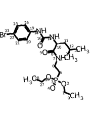 CCOP(=O)(CCNC(=O)[C@H](CC(C)C)NC(=O)Nc1ccc(Br)cc1)OCC